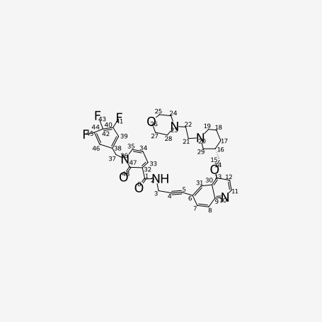 O=C(NCC#Cc1ccc2nccc(OC[C@H]3CCCN(CCN4CCOCC4)C3)c2c1)c1cccn(Cc2cc(F)c(F)c(F)c2)c1=O